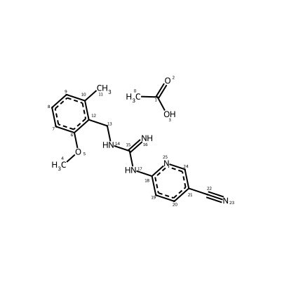 CC(=O)O.COc1cccc(C)c1CNC(=N)Nc1ccc(C#N)cn1